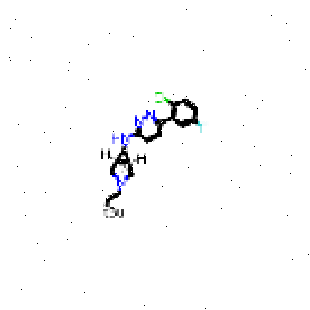 CC(C)(C)CCN1C[C@@H]2C(Nc3ccc(-c4cc(F)ccc4Cl)nn3)[C@@H]2C1